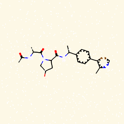 Cc1ncsc1-c1ccc(C(C)NC(=O)C2CC(O)CN2C(=O)C(NC(=O)C(C)C)C(C)(C)C)cc1